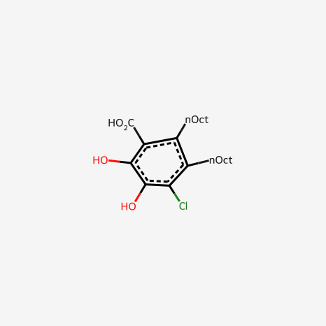 CCCCCCCCc1c(Cl)c(O)c(O)c(C(=O)O)c1CCCCCCCC